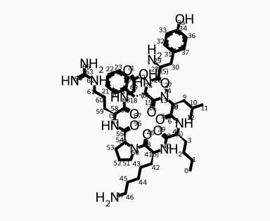 CCCC[C@H](NC(=O)[C@H](CC(C)C)N(C)C(=O)[C@H](Cc1ccccc1)NC(=O)[C@@H](N)Cc1ccc(O)cc1)C(=O)N[C@@H](CCCCCN)C(=O)N1CCC[C@H]1C(=O)N[C@@H](CCCNC(=N)N)C(=O)NCC(=O)O